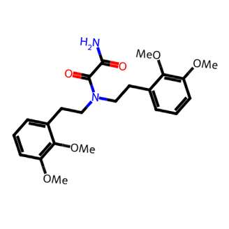 COc1cccc(CCN(CCc2cccc(OC)c2OC)C(=O)C(N)=O)c1OC